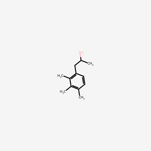 BC(C)Cc1ccc(C)c(C)c1C